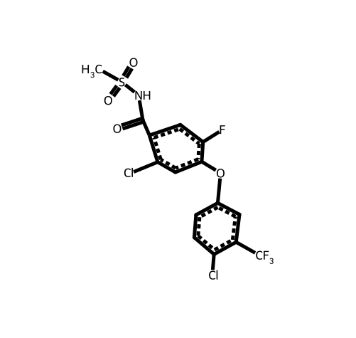 CS(=O)(=O)NC(=O)c1cc(F)c(Oc2ccc(Cl)c(C(F)(F)F)c2)cc1Cl